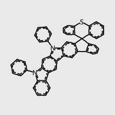 c1ccc(-n2c3ccccc3c3cc4c5cc6c(cc5n(-c5ccccc5)c4cc32)C2(c3ccccc3Sc3ccccc32)c2ccccc2-6)cc1